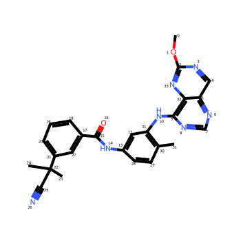 COc1ncc2ncnc(Nc3cc(NC(=O)c4cccc(C(C)(C)C#N)c4)ccc3C)c2n1